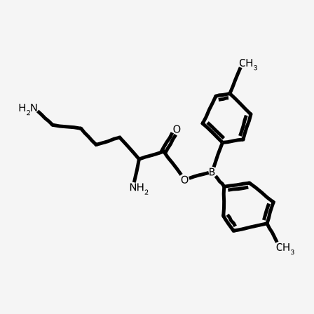 Cc1ccc(B(OC(=O)C(N)CCCCN)c2ccc(C)cc2)cc1